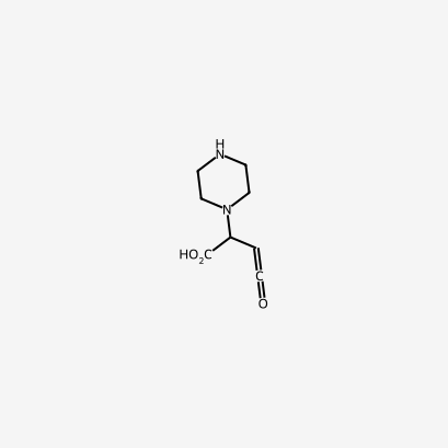 O=C=CC(C(=O)O)N1CCNCC1